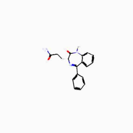 CC(C)N1C(=O)[C@@H](CCC(N)=O)N=C(c2ccccc2)c2ccccc21